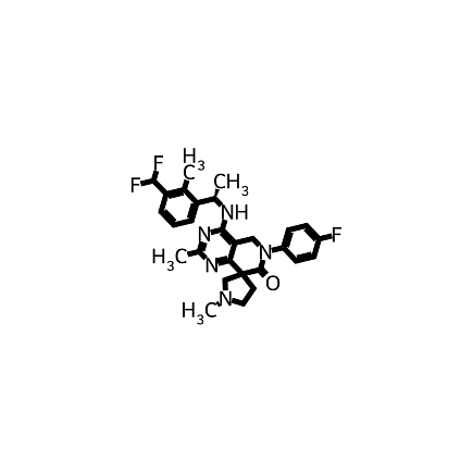 Cc1nc(N[C@H](C)c2cccc(C(F)F)c2C)c2c(n1)C1(CCN(C)C1)C(=O)N(c1ccc(F)cc1)C2